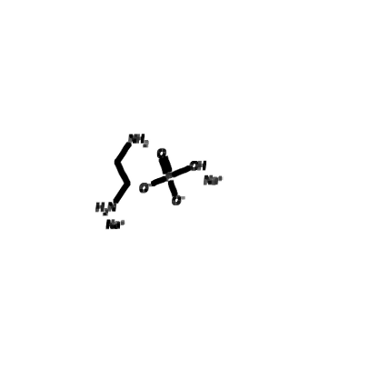 NCCN.O=P([O-])([O-])O.[Na+].[Na+]